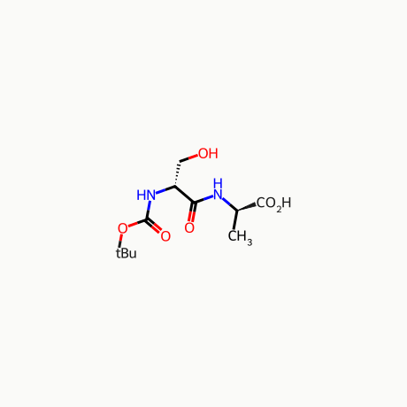 C[C@@H](NC(=O)[C@@H](CO)NC(=O)OC(C)(C)C)C(=O)O